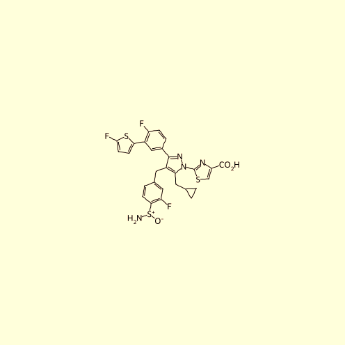 N[S+]([O-])c1ccc(Cc2c(-c3ccc(F)c(-c4ccc(F)s4)c3)nn(-c3nc(C(=O)O)cs3)c2CC2CC2)cc1F